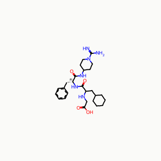 N=C(N)N1CCC(NC(=O)[C@@H](Cc2ccccc2)NC(=O)C(CC2CCCCC2)NCC(=O)O)CC1